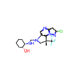 C[C@@]1(C(F)(F)F)CN(CN[C@@H]2CCCC[C@H]2O)c2cnc3cc(Cl)nn3c21